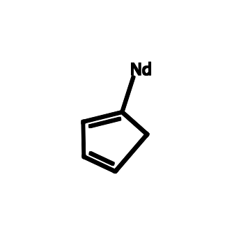 [Nd][C]1=CC=CC1